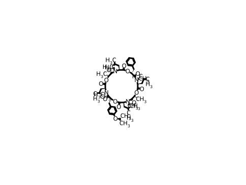 CC(C)C[C@H]1C(=O)O[C@H](Cc2ccc(OC(C)C)cc2)C(=O)N(C)[C@@H](CC(C)C)C(=O)O[C@H](C)C(=O)N(C)[C@@H](CC(C)C)C(=O)O[C@H](Cc2ccccc2)C(=O)N(C)[C@@H](CC(C)C)C(=O)O[C@H](C)C(=O)N1C